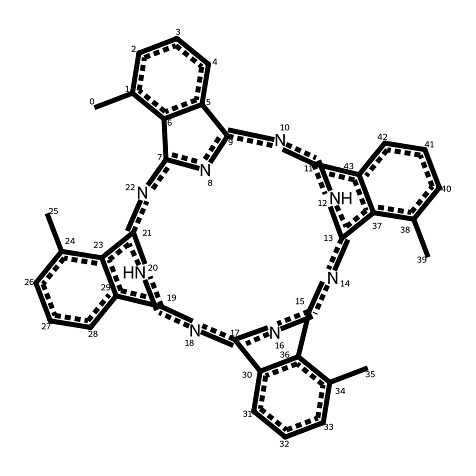 Cc1cccc2c1-c1nc-2nc2[nH]c(nc3nc(nc4[nH]c(n1)c1c(C)cccc41)-c1cccc(C)c1-3)c1c(C)cccc21